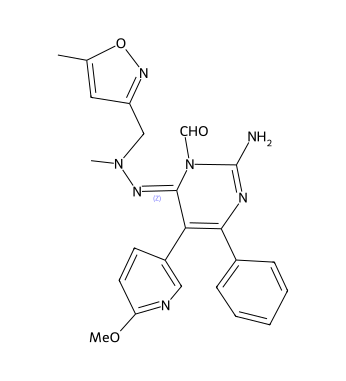 COc1ccc(-c2c(-c3ccccc3)nc(N)n(C=O)/c2=N\N(C)Cc2cc(C)on2)cn1